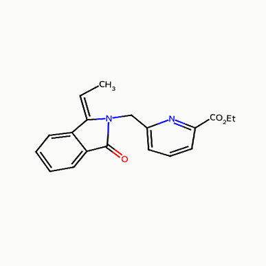 CC=C1c2ccccc2C(=O)N1Cc1cccc(C(=O)OCC)n1